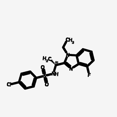 CCn1c([C@@H](C)NS(=O)(=O)c2ccc(Cl)cc2)nc2c(F)cccc21